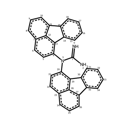 N=C(N)N(c1ccc2cccc3c2c1-c1ccccc1-3)c1ccc2cccc3c2c1-c1ccccc1-3